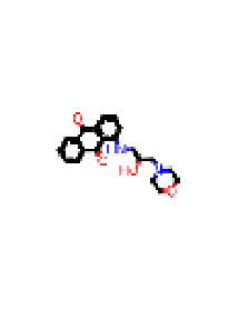 O=C1c2ccccc2C(=O)c2c(NCC(O)CN3CCOCC3)cccc21